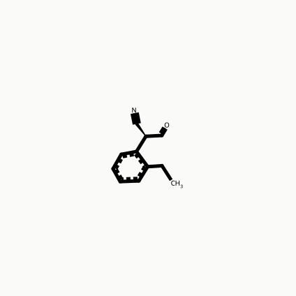 CCc1ccccc1[C@@H](C#N)C=O